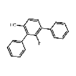 Oc1ccc(-c2ccccc2)c(F)c1-c1ccccc1